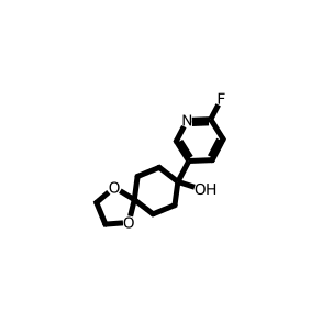 OC1(c2ccc(F)nc2)CCC2(CC1)OCCO2